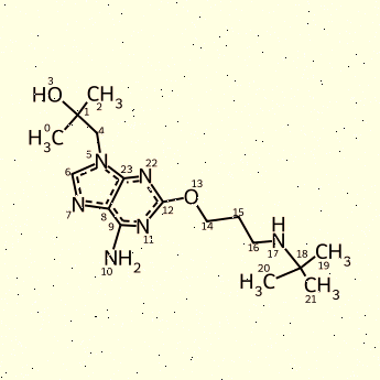 CC(C)(O)Cn1cnc2c(N)nc(OCCCNC(C)(C)C)nc21